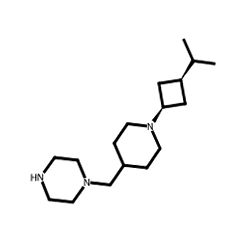 CC(C)[C@H]1C[C@@H](N2CCC(CN3CCNCC3)CC2)C1